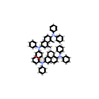 Cc1c(N(c2ccccc2)c2ccccc2)ccc2cc(N(c3ccccc3)c3ccccc3)cc(C[C@H]3Cc4cc(N(c5ccccc5)c5ccccc5)cc5ccc(N(c6ccccc6)c6ccccc6)c(c45)C3)c12